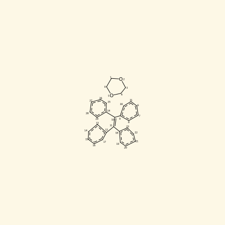 C1COCCO1.c1ccc(C(=C(c2ccccc2)c2ccccc2)c2ccccc2)cc1